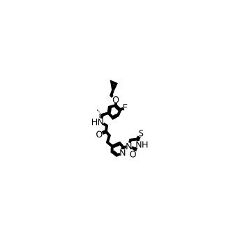 C[C@@H](NCC(=O)CCc1ccnc(N2CC(=S)NC2=O)c1)c1ccc(F)c(OCC2CC2)c1